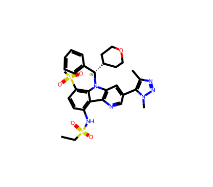 CCS(=O)(=O)Nc1ccc(S(C)(=O)=O)c2c1c1ncc(-c3c(C)nnn3C)cc1n2[C@H](c1ccccc1)C1CCOCC1